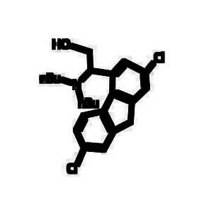 CCCCN(CCCC)C(CO)c1cc(Cl)cc2c1-c1ccc(Cl)cc1C2